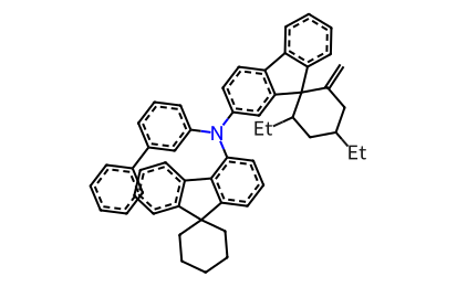 C=C1CC(CC)CC(CC)C12c1ccccc1-c1ccc(N(c3cccc(-c4ccccc4)c3)c3cccc4c3-c3ccccc3C43CCCCC3)cc12